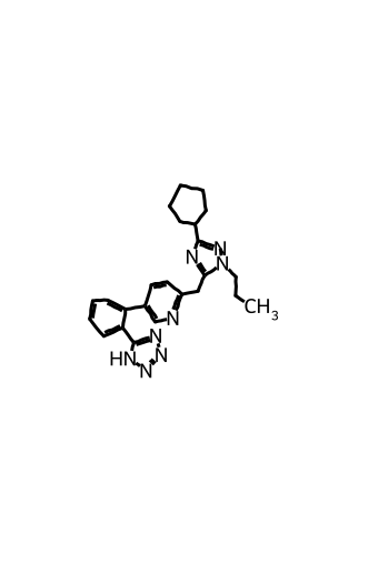 CCCn1nc(C2CCCCC2)nc1Cc1ccc(-c2ccccc2-c2nnn[nH]2)cn1